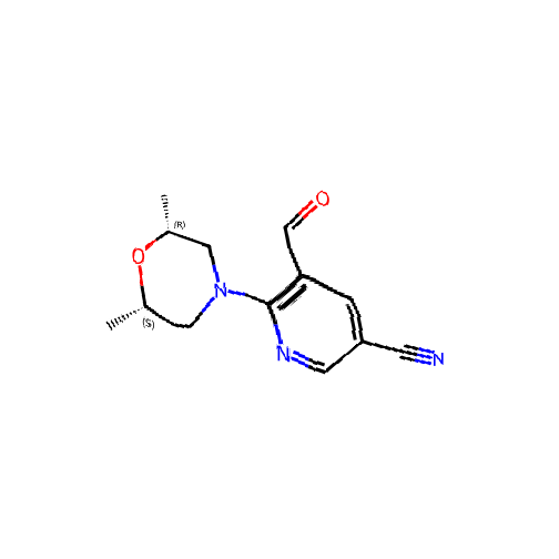 C[C@@H]1CN(c2ncc(C#N)cc2C=O)C[C@H](C)O1